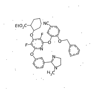 CCOC(=O)C1CCCCC1Oc1c(F)c(Oc2cccc(C3=NCCN3C)c2)nc(Oc2cc(C#N)ccc2OCc2ccccc2)c1F